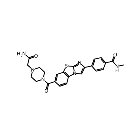 CNC(=O)c1ccc(-c2cn3c(n2)sc2cc(C(=O)N4CCN(CC(N)=O)CC4)ccc23)cc1